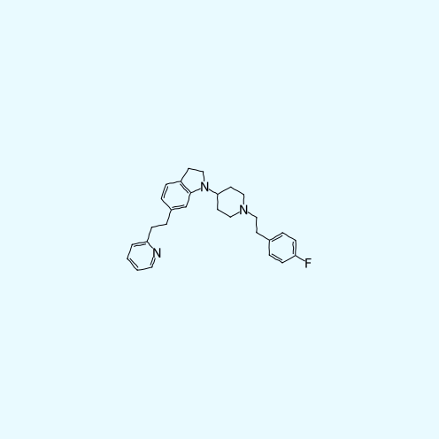 Fc1ccc(CCN2CCC(N3CCc4ccc(CCc5ccccn5)cc43)CC2)cc1